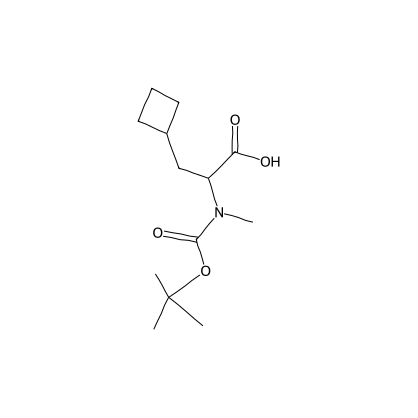 CN(C(=O)OC(C)(C)C)C(CC1CCC1)C(=O)O